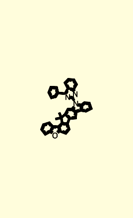 CC1(C)c2cc3c(cc2-c2ccc4oc5ccccc5c4c21)c1ccccc1n3-c1nc(-c2ccccc2)c2ccccc2n1